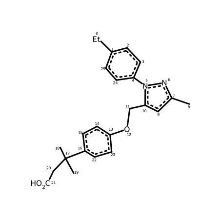 CCc1ccc(-n2nc(C)cc2COc2ccc(C(C)(C)CC(=O)O)cc2)cc1